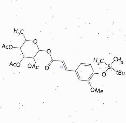 COc1cc(/C=C/C(=O)OC2OC(C)C(OC(C)=O)C(OC(C)=O)C2OC(C)=O)ccc1O[Si](C)(C)C(C)(C)C